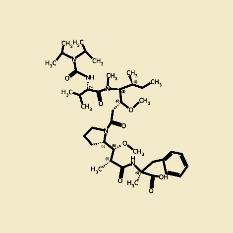 CC[C@H](C)[C@@H]([C@@H](CC(=O)N1CCC[C@H]1[C@H](OC)[C@@H](C)C(=O)N[C@@](C)(Cc1ccccc1)C(=O)O)OC)N(C)C(=O)[C@@H](NC(=O)N(C(C)C)C(C)C)C(C)C